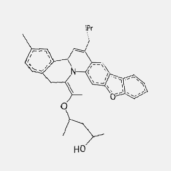 C/C(OC(C)CC(C)O)=C1/Cc2ccc(C)cc2C2C=C(CC(C)C)c3cc4c(cc3N12)oc1ccccc14